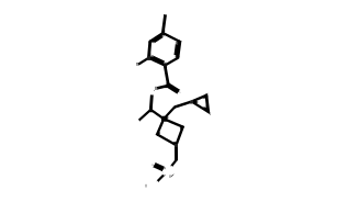 CCCS(=O)(=O)CC1CC(CC2CC2)(C(C)NC(=O)c2ccc(C)cc2Cl)C1